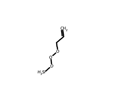 C=CCOOO[SiH3]